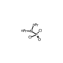 CCCN(CCC)P(=O)(Cl)Cl